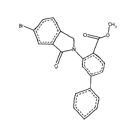 COC(=O)c1ccc(-c2ccccc2)cc1N1Cc2ccc(Br)cc2C1=O